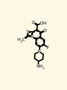 C=c1sc2c(C(=O)O)c(=O)c3cc(F)c(N4CCC(N)CC4)cc3n12